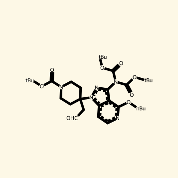 CCCCOc1nccc2c1c(N(C(=O)OC(C)(C)C)C(=O)OC(C)(C)C)nn2C1(CC=O)CCN(C(=O)OC(C)(C)C)CC1